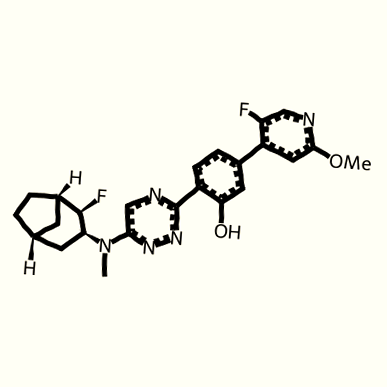 COc1cc(-c2ccc(-c3ncc(N(C)[C@H]4C[C@@H]5CC[C@@H](C5)[C@H]4F)nn3)c(O)c2)c(F)cn1